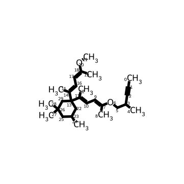 CC#CC(C)CO/C(C)=C/C=C(\C)C1(/C(C)=C/C=C(\C)OC)CC(C)CC(C)(C)C1